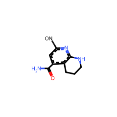 NC(=O)c1cc(N=O)nc2c1CCCN2